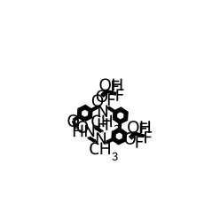 CC1CN(Cc2cccc(-c3cccc(CNC(=O)c4ccc5c(c4)OCO5)c3)c2)C(C)CN1.O=C(O)C(F)(F)F.O=C(O)C(F)(F)F